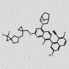 C#Cc1c(F)ccc2cc(O)cc(-c3ccc4c(N5CC6CCC(C5)N6)nc(OCC5(CN6CCC7(C6)CC7(F)F)CC5)nc4c3F)c12